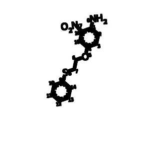 Nc1ccc(OCCSc2ccccc2)cc1[N+](=O)[O-]